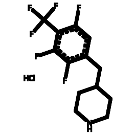 Cl.Fc1cc(CC2CCNCC2)c(F)c(F)c1C(F)(F)F